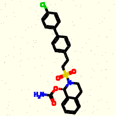 NC(=O)O[C@H]1c2ccccc2CCN1S(=O)(=O)CCc1ccc(-c2ccc(Cl)cc2)cc1